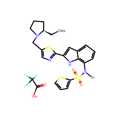 CCN(c1cccc2cc(-c3ncc(CN4CCC[C@H]4COC)s3)[nH]c12)S(=O)(=O)c1cccs1.O=C(O)C(F)(F)F